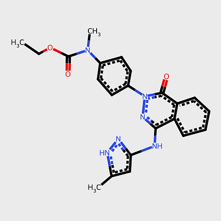 CCOC(=O)N(C)c1ccc(-n2nc(Nc3cc(C)[nH]n3)c3ccccc3c2=O)cc1